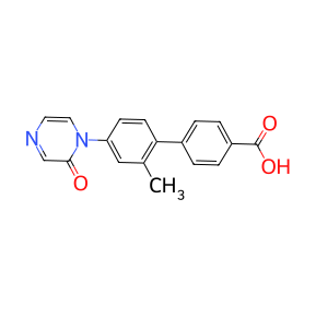 Cc1cc(-n2ccncc2=O)ccc1-c1ccc(C(=O)O)cc1